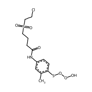 Cc1cc(NC(=O)CCCS(=O)(=O)CCCl)ccc1SOOO